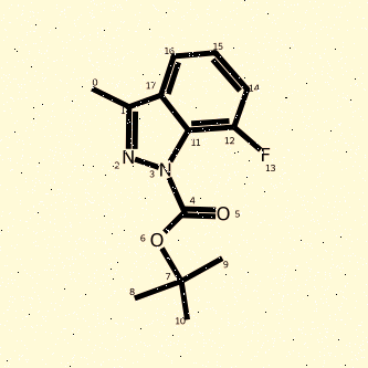 Cc1nn(C(=O)OC(C)(C)C)c2c(F)cccc12